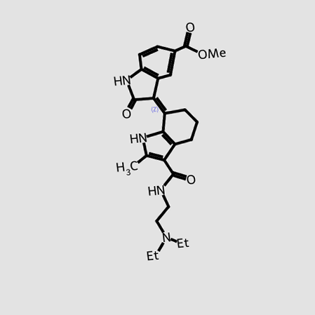 CCN(CC)CCNC(=O)c1c(C)[nH]c2c1CCC/C2=C1/C(=O)Nc2ccc(C(=O)OC)cc21